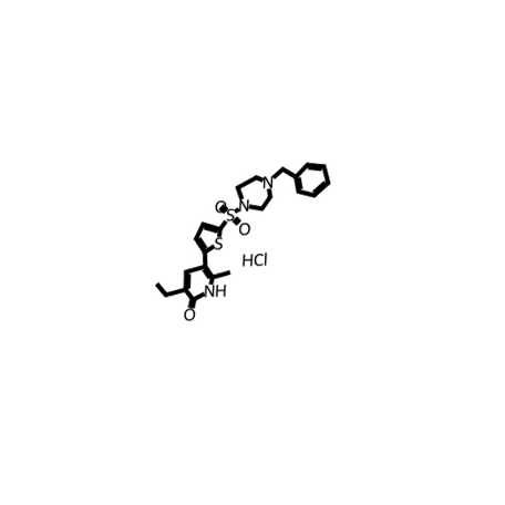 CCc1cc(-c2ccc(S(=O)(=O)N3CCN(Cc4ccccc4)CC3)s2)c(C)[nH]c1=O.Cl